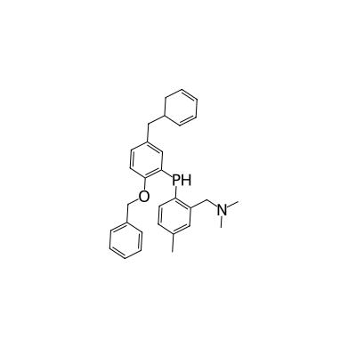 Cc1ccc(Pc2cc(CC3C=CC=CC3)ccc2OCc2ccccc2)c(CN(C)C)c1